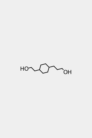 OCCCC1CCC(CCO)CC1